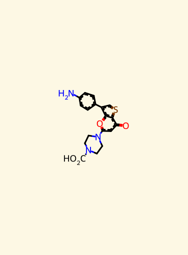 Nc1ccc(-c2csc3c(=O)cc(N4CCN(C(=O)O)CC4)oc23)cc1